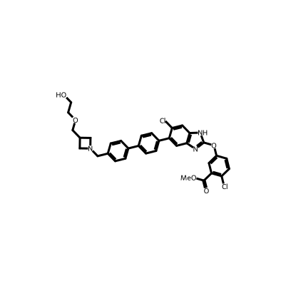 COC(=O)c1cc(Oc2nc3cc(-c4ccc(-c5ccc(CN6CC(COCCO)C6)cc5)cc4)c(Cl)cc3[nH]2)ccc1Cl